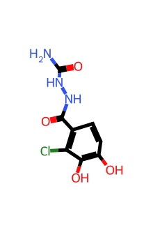 NC(=O)NNC(=O)c1ccc(O)c(O)c1Cl